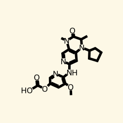 COc1cc(OC(=O)O)cnc1Nc1cc2c(cn1)N(C)C(=O)C(C)N2C1CCCC1